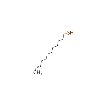 CC=CCCCCCCCCCS